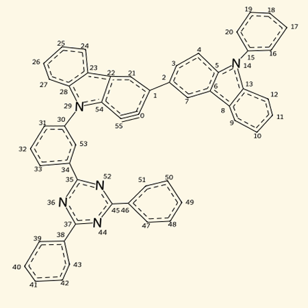 c1c(-c2ccc3c(c2)c2ccccc2n3-c2ccccc2)cc2c3ccccc3n(-c3cccc(-c4nc(-c5ccccc5)nc(-c5ccccc5)n4)c3)c2c#1